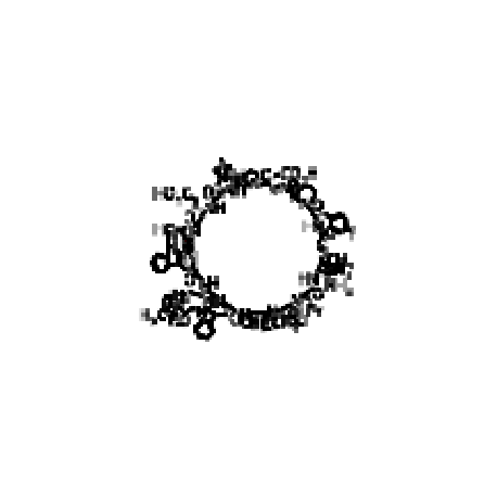 CCCC[C@H]1C(=O)N(C)[C@@H](CCCC)C(=O)N[C@@H](CC(C)C)C(=O)N[C@H](C(N)=O)C(C)(C)SCC(=O)N[C@@H](Cc2ccc(F)cc2)C(=O)N2CCCC[C@H]2C(=O)N[C@@H](CC(=O)O)C(=O)N2CCC[C@H]2C(=O)N[C@@H](Cc2cnc[nH]2)C(=O)N[C@@H](CCC(=O)O)C(=O)N2C[C@H](O)C[C@H]2C(=O)N[C@@H](Cc2c[nH]c3ccccc23)C(=O)N[C@@H](CCN)C(=O)N[C@@H](Cc2cn(CC(=O)NS(C)(=O)=O)c3ccccc23)C(=O)N1C